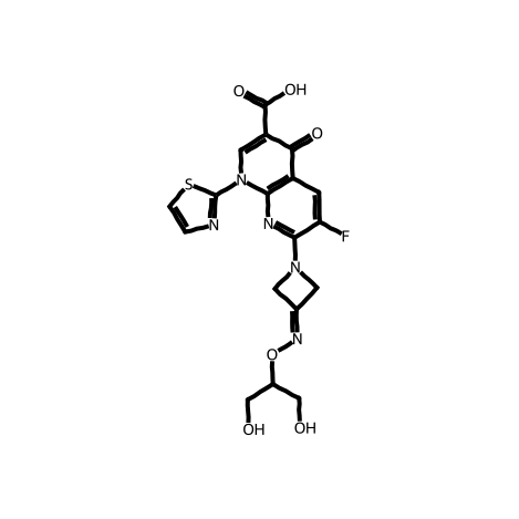 O=C(O)c1cn(-c2nccs2)c2nc(N3CC(=NOC(CO)CO)C3)c(F)cc2c1=O